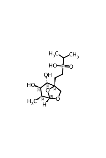 CC(C)P(=O)(O)CC[C@@]12CO[C@@H](O1)[C@@H](C)[C@@H](O)[C@@H]2O